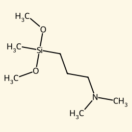 CO[Si](C)(CCCN(C)C)OC